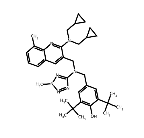 Cc1cccc2cc(CN(Cc3cc(C(C)(C)C)c(O)c(C(C)(C)C)c3)c3nnn(C)n3)c(N(CC3CC3)CC3CC3)nc12